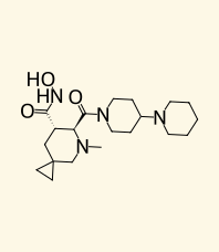 CN1CC2(CC2)C[C@H](C(=O)NO)[C@H]1C(=O)N1CCC(N2CCCCC2)CC1